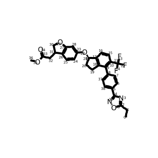 CCc1nc(-c2ccc(-c3c(C(F)(F)F)ccc4c3CC[C@H]4Oc3ccc4c(c3)OCC4CC(=O)OC)cc2)no1